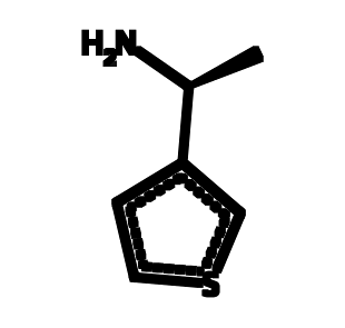 C[C@H](N)c1ccsc1